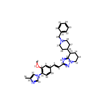 COc1cc(C=Cc2nc3n(n2)CCCC3C2CCN(Cc3ccccc3)CC2)ccc1-n1cnc(C)c1